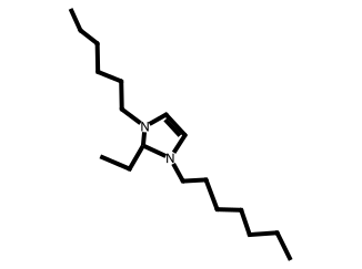 CCCCCCCN1C=CN(CCCCCC)C1CC